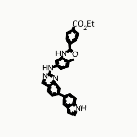 CCOC(=O)c1ccc(C(=O)Nc2cc(Nc3ncc4ccc(-c5ccc6[nH]ccc6c5)cc4n3)ccc2C)cc1